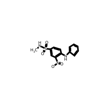 CNS(=O)(=O)c1ccc(Nc2ccccc2)c([N+](=O)[O-])c1